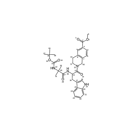 COC(=O)c1ccc2c(c1)CCN(C(=O)C(Cc1c[nH]c3ccccc13)NC(=O)C(C)(C)NC(=O)OC(C)(C)C)C2